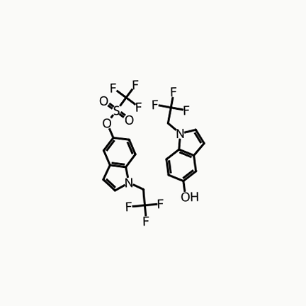 O=S(=O)(Oc1ccc2c(ccn2CC(F)(F)F)c1)C(F)(F)F.Oc1ccc2c(ccn2CC(F)(F)F)c1